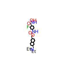 CCN(CC)Cc1ccc2cc(COC(=O)Nc3ccc(C(=O)NO)c(F)c3)ccc2c1